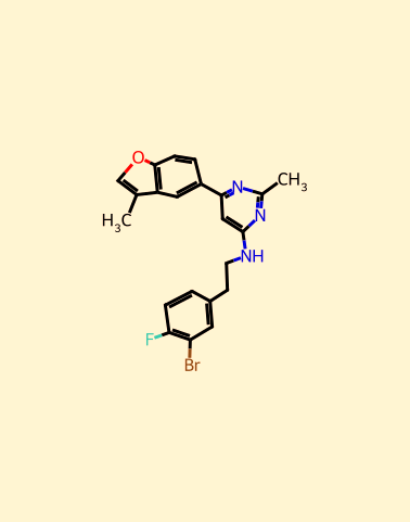 Cc1nc(NCCc2ccc(F)c(Br)c2)cc(-c2ccc3occ(C)c3c2)n1